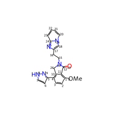 COc1ccc(-c2cc[nH]n2)c2c1C(=O)N(CCc1cn3ccccc3n1)C2